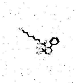 CCCCCCCNC(=O)N1C(c2ccccc2)COCC1(C)C